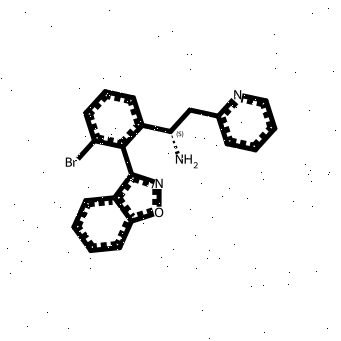 N[C@@H](Cc1ccccn1)c1cccc(Br)c1-c1noc2ccccc12